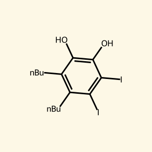 CCCCc1c(O)c(O)c(I)c(I)c1CCCC